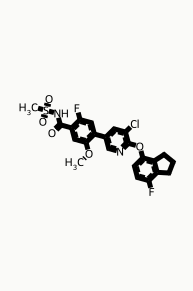 COc1cc(C(=O)NS(C)(=O)=O)c(F)cc1-c1cnc(Oc2ccc(F)c3c2CCC3)c(Cl)c1